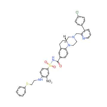 O=C(NS(=O)(=O)c1ccc(NCCSc2ccccc2)c([N+](=O)[O-])c1)c1ccc2c(c1)CC[C@@H]1CN(Cc3ncccc3-c3ccc(Cl)cc3)CCN21